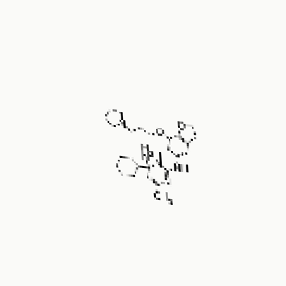 CC1=CC(N)(C2CCCCC2)NC(Nc2cc3c(c(OCCCN4CCCC4)c2)OCC3)=N1